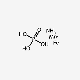 N.O=P(O)(O)O.[Fe].[Mn]